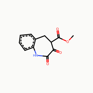 COC(=O)C1Cc2ccccc2NC(=O)C1=O